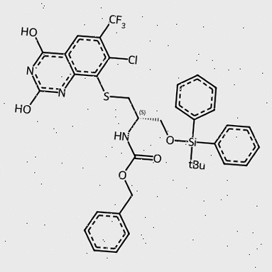 CC(C)(C)[Si](OC[C@@H](CSc1c(Cl)c(C(F)(F)F)cc2c(O)nc(O)nc12)NC(=O)OCc1ccccc1)(c1ccccc1)c1ccccc1